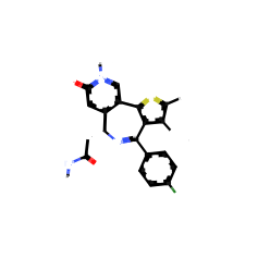 CCNC(=O)C[C@H]1N=C(c2ccc(Cl)cc2)c2c(sc(C)c2C)-c2cn(C)c(=O)cc21